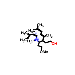 C=CC(=C)/C=C\[N+](=C)C(CCOC)C(CCO)C(C)=CC=C(C)C